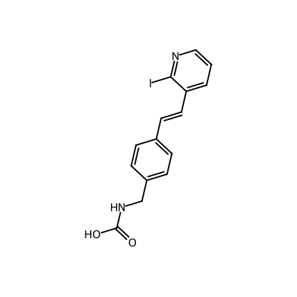 O=C(O)NCc1ccc(C=Cc2cccnc2I)cc1